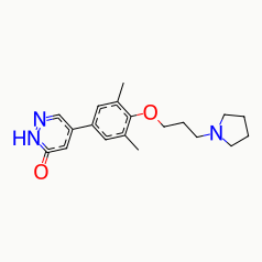 Cc1cc(-c2cn[nH]c(=O)c2)cc(C)c1OCCCN1CCCC1